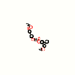 CCC(C)(C)Oc1ccc(C2(c3ccc(OC(=O)C(C)(C)C(C)(C)Oc4ccc(-c5ccc(OC(=O)C(C)(C)CC)cc5)cc4)cc3)CCCCC2)cc1